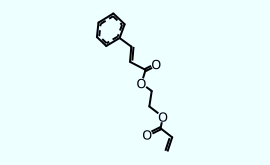 C=CC(=O)OCCOC(=O)C=Cc1ccccc1